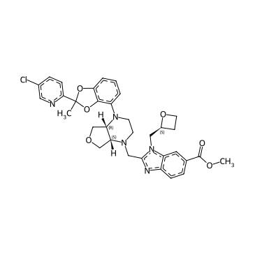 COC(=O)c1ccc2nc(CN3CCN(c4cccc5c4OC(C)(c4ccc(Cl)cn4)O5)[C@H]4COC[C@H]43)n(C[C@@H]3CCO3)c2c1